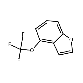 FC(F)(F)Oc1cccc2o[c]cc12